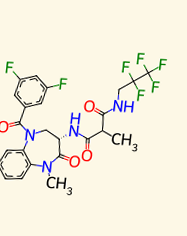 CC(C(=O)NCC(F)(F)C(F)(F)F)C(=O)N[C@H]1CN(C(=O)c2cc(F)cc(F)c2)c2ccccc2N(C)C1=O